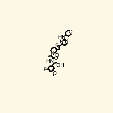 COc1cc(F)cc(C(CO)NC(=O)C(C)N2CCc3sc(-c4ccnc(NC5CCOCC5)n4)cc3C2=O)c1